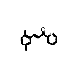 Cc1ccc(C)c(C=CC(=O)c2ccccn2)c1